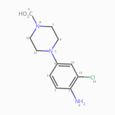 Nc1ccc(N2CCN(C(=O)O)CC2)cc1Cl